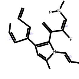 C=C/C=C(\C=C/C)c1cc(C)n(/C=C/C)c1C(=C)/C(F)=C\N(C)F